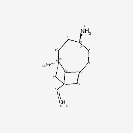 C=CC12CC3CC[C@H](N)CC[C@H](C1)C32